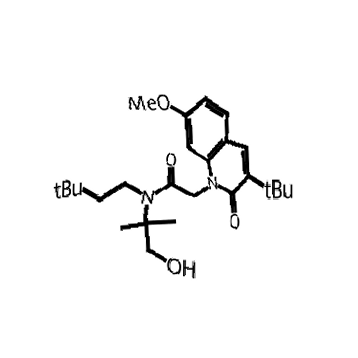 COc1ccc2cc(C(C)(C)C)c(=O)n(CC(=O)N(CCC(C)(C)C)C(C)(C)CO)c2c1